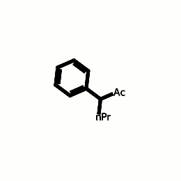 CCCC(C(C)=O)c1ccccc1